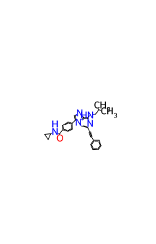 CC(C)CNc1nc(C#Cc2ccccc2)cn2c(-c3ccc(C(=O)NC4CC4)cc3)cnc12